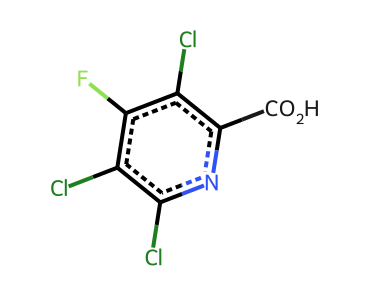 O=C(O)c1nc(Cl)c(Cl)c(F)c1Cl